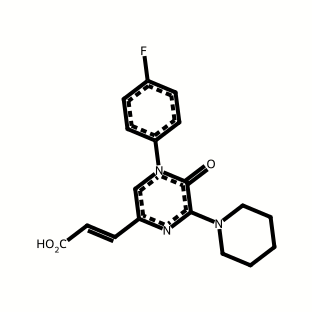 O=C(O)/C=C/c1cn(-c2ccc(F)cc2)c(=O)c(N2CCCCC2)n1